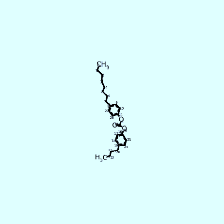 CCCCCCCCc1ccc(OC(=O)Oc2ccc(CCCC)cc2)cc1